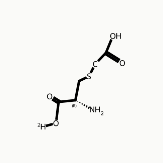 [2H]OC(=O)[C@@H](N)CSCC(=O)O